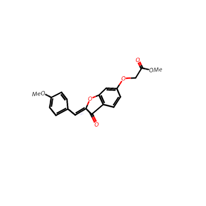 COC(=O)COc1ccc2c(c1)O/C(=C\c1ccc(OC)cc1)C2=O